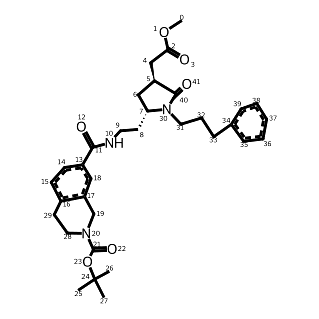 COC(=O)C[C@@H]1C[C@@H](CCNC(=O)c2ccc3c(c2)CN(C(=O)OC(C)(C)C)CC3)N(CCCc2ccccc2)C1=O